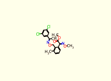 CO/N=C(/C(=O)OC)c1cccc(C)c1CO/N=C(\C)c1cc(Cl)cc(Cl)c1